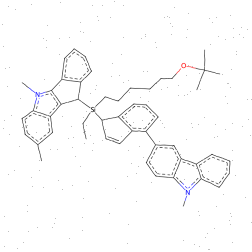 CC[Si](CCCCCCOC(C)(C)C)(C1C=Cc2c(-c3ccc4c(c3)c3ccccc3n4C)cccc21)C1c2ccccc2-c2c1c1cc(C)ccc1n2C